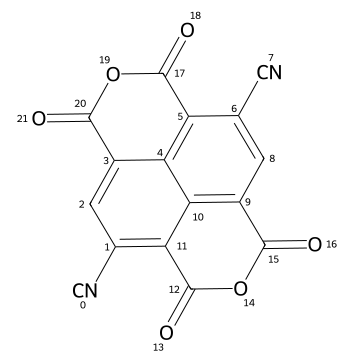 [C-]#[N+]c1cc2c3c(c(C#N)cc4c3c1C(=O)OC4=O)C(=O)OC2=O